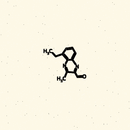 CCc1cccc2nc(C=O)c(C)nc12